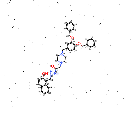 O=C(CN1CCN(Cc2ccc(OCc3ccccc3)c(OCc3ccccc3)c2)CC1)NNCc1c(O)ccc2ccccc12